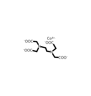 O=C([O-])CN(CCN(CC(=O)[O-])CC(=O)[O-])CC(=O)[O-].[Co+4]